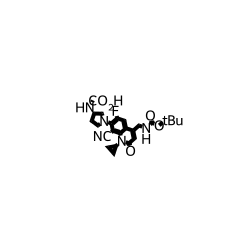 CC(C)(C)OC(=O)NCc1cc(=O)n(C2CC2)c2c(C#N)c(N3CC[C@H](NC(=O)O)C3)c(F)cc12